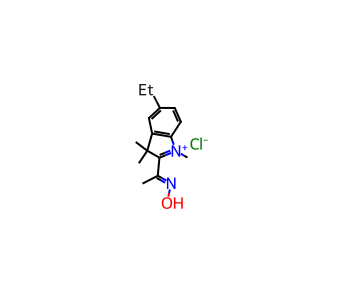 CCc1ccc2c(c1)C(C)(C)C(C(C)=NO)=[N+]2C.[Cl-]